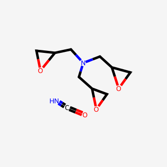 C1OC1CN(CC1CO1)CC1CO1.N=C=O